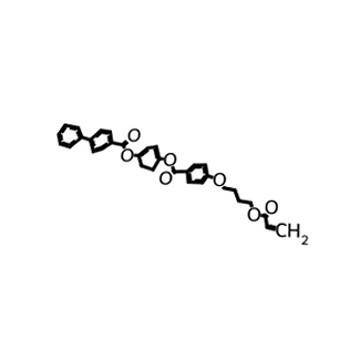 C=CC(=O)OCCCCOc1ccc(C(=O)OC2=CC=C(OC(=O)c3ccc(-c4ccccc4)cc3)CC2)cc1